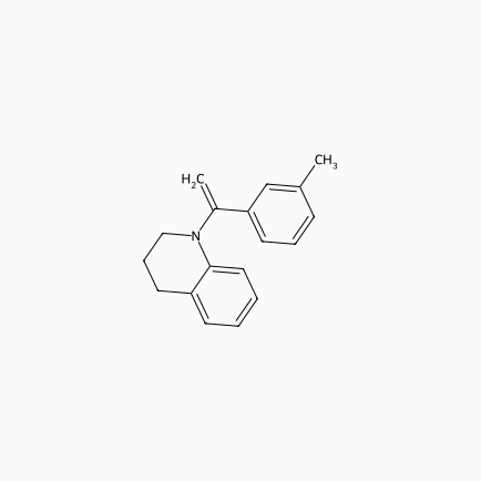 C=C(c1cccc(C)c1)N1CCCc2ccccc21